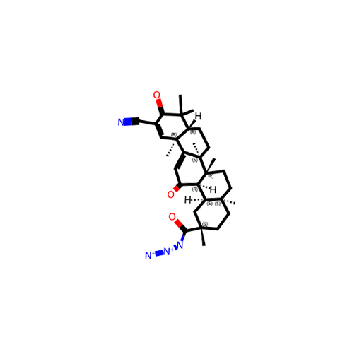 CC1(C)C(=O)C(C#N)=C[C@]2(C)C3=CC(=O)[C@@H]4[C@@H]5C[C@@](C)(C(=O)N=[N+]=[N-])CC[C@]5(C)CC[C@@]4(C)[C@]3(C)CC[C@@H]12